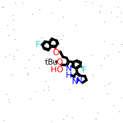 Cc1nn2c(c1-c1c(F)ccc3c(CCCOc4cccc5cc(F)ccc45)c(C(O)OC(C)(C)C)[nH]c13)CCC2